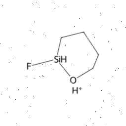 F[SiH]1CCCCO1.[H+]